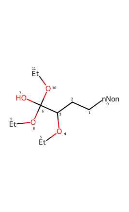 CCCCCCCCCCCC(OCC)C(O)(OCC)OCC